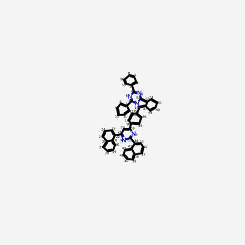 c1ccc(-c2nc(-c3ccccc3)n3c(-c4ccc(-c5cc(-c6cccc7ccccc67)nc(-c6cccc7ccccc67)n5)cc4)c4ccccc4c3n2)cc1